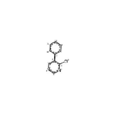 Clc1ncncc1-c1ccccc1